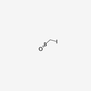 O=BCI